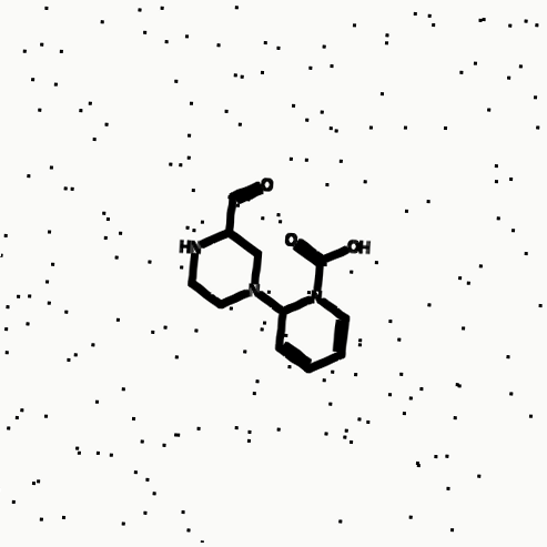 O=CC1CN(C2C=CC=CN2C(=O)O)CCN1